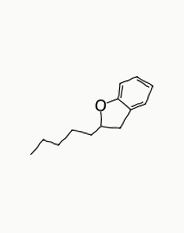 CCCCCC1Cc2ccccc2O1